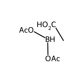 CC(=O)O.CC(=O)OBOC(C)=O